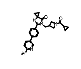 CC(C)c1ccc(-c2ccc(C3=NC4(CC4)C(=O)N3CC3CN(C(=O)C4CC4)C3)cc2)cn1